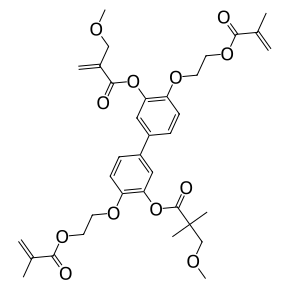 C=C(C)C(=O)OCCOc1ccc(-c2ccc(OCCOC(=O)C(=C)C)c(OC(=O)C(C)(C)COC)c2)cc1OC(=O)C(=C)COC